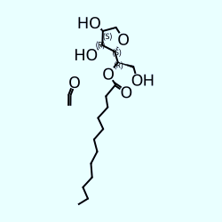 C=C=O.CCCCCCCCCCCC(=O)O[C@H](CO)[C@H]1OC[C@H](O)[C@H]1O